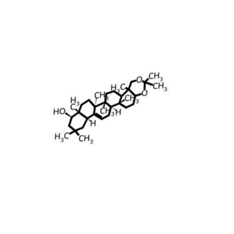 CC1(C)C[C@@H](O)[C@]2(C)CC[C@]3(C)C(=CC[C@@H]4[C@@]5(C)CCC6OC(C)(C)OCC6(C)C5CC[C@]43C)[C@H]2C1